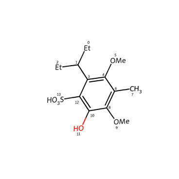 CCC(CC)c1c(OC)c(C)c(OC)c(O)c1S(=O)(=O)O